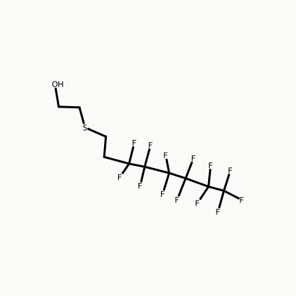 OCCSCCC(F)(F)C(F)(F)C(F)(F)C(F)(F)C(F)(F)C(F)(F)F